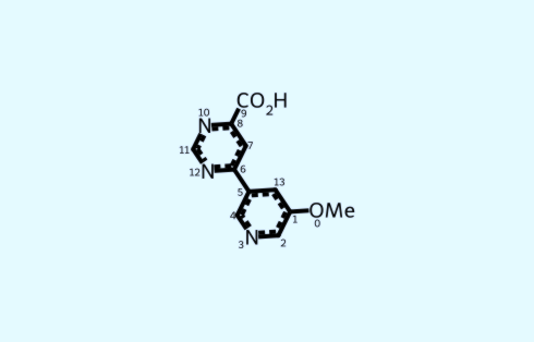 COc1cncc(-c2cc(C(=O)O)ncn2)c1